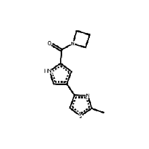 Cc1nc(-c2c[nH]c(C(=O)N3CCC3)c2)cs1